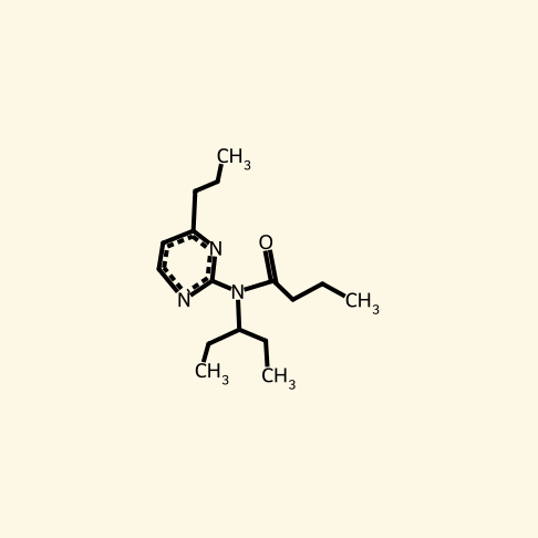 CCCC(=O)N(c1nccc(CCC)n1)C(CC)CC